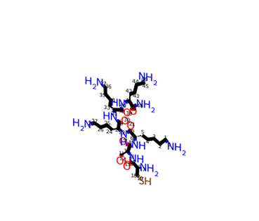 NCCCCC[C@H](NC(=O)[C@H](CO)NC(=O)[C@@H](N)CS)C(=O)N[C@@H](CCCCN)C(=O)N[C@@H](CCCCN)C(=O)N[C@@H](CCCCN)C(N)=O